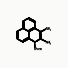 CCCCCC1C(N)=C(N)c2cccc3cccc1c23